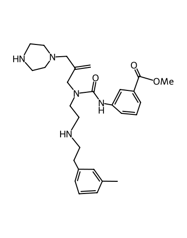 C=C(CN1CCNCC1)CN(CCNCCc1cccc(C)c1)C(=O)Nc1cccc(C(=O)OC)c1